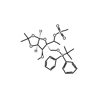 CO[C@H]1[C@H]2OC(C)(C)O[C@H]2O[C@@]1(CO[Si](c1ccccc1)(c1ccccc1)C(C)(C)C)C(C)OS(C)(=O)=O